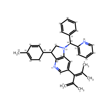 C=C(C)C(=C(C)C)c1cnc2c(c1)N([C@@H](c1ccccc1)c1ccccn1)CC2C1C=CC(C)=CC1